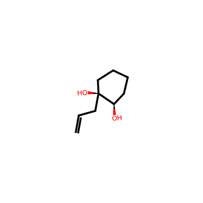 C=CC[C@]1(O)CCCC[C@H]1O